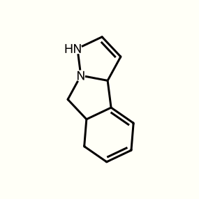 C1=CCC2CN3NC=CC3C2=C1